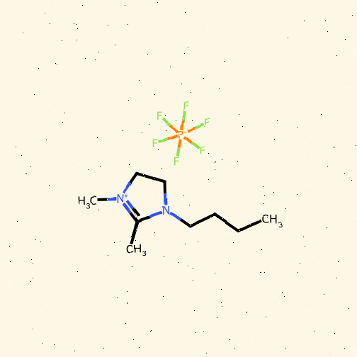 CCCCN1CC[N+](C)=C1C.F[P-](F)(F)(F)(F)F